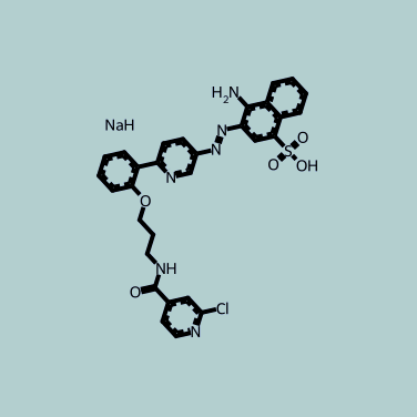 Nc1c(N=Nc2ccc(-c3ccccc3OCCCNC(=O)c3ccnc(Cl)c3)nc2)cc(S(=O)(=O)O)c2ccccc12.[NaH]